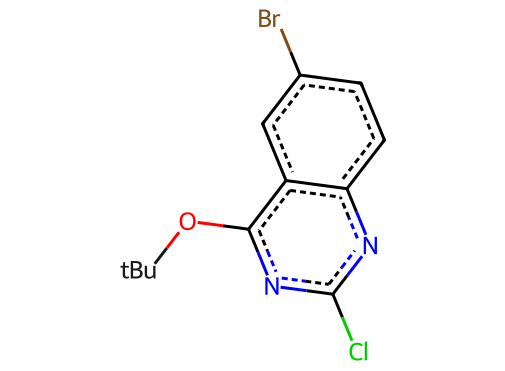 CC(C)(C)Oc1nc(Cl)nc2ccc(Br)cc12